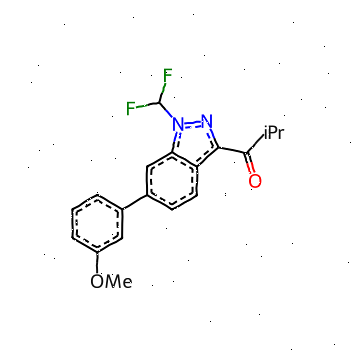 COc1cccc(-c2ccc3c(C(=O)C(C)C)nn(C(F)F)c3c2)c1